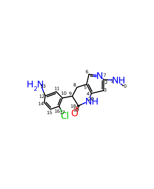 CNc1cc2c(cn1)CC(c1cc(N)ccc1Cl)C(=O)N2